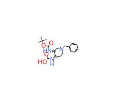 CC(C)(C)OC(=O)N[C@@H]1CN(Cc2ccccc2)CC[C@@H]1NC(=O)O